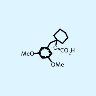 COc1cc(CC2(OC(=O)O)CCCCC2)cc(OC)c1